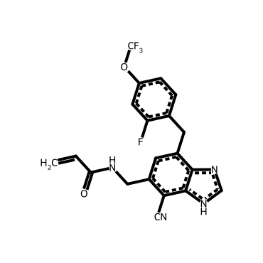 C=CC(=O)NCc1cc(Cc2ccc(OC(F)(F)F)cc2F)c2nc[nH]c2c1C#N